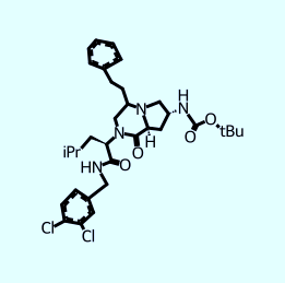 CC(C)C[C@H](C(=O)NCc1ccc(Cl)c(Cl)c1)N1CC(CCc2ccccc2)N2C[C@H](NC(=O)OC(C)(C)C)C[C@H]2C1=O